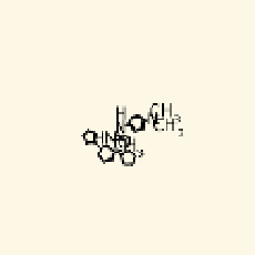 CN(C)c1ccc(NC(=O)N[C@H]2[C@H](C3CCCC3)CCCC2(C)C2CCCC2)cc1